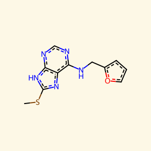 CSc1nc2c(NCc3ccco3)ncnc2[nH]1